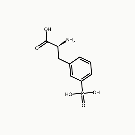 N[C@@H](Cc1cccc(P(=O)(O)O)c1)C(=O)O